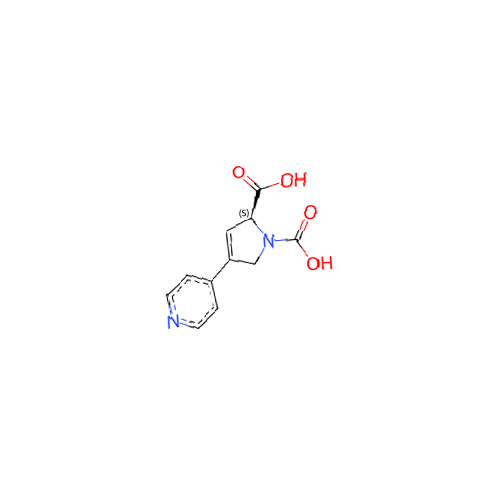 O=C(O)[C@@H]1C=C(c2ccncc2)CN1C(=O)O